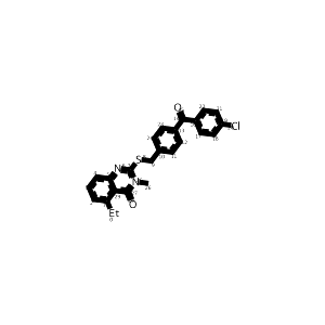 CCc1cccc2nc(SCc3ccc(C(=O)c4ccc(Cl)cc4)cc3)n(C)c(=O)c12